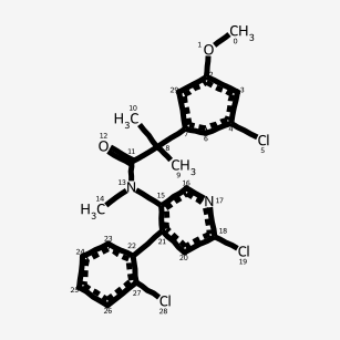 COc1cc(Cl)cc(C(C)(C)C(=O)N(C)c2cnc(Cl)cc2-c2ccccc2Cl)c1